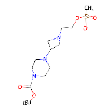 CC(C)(C)OC(=O)N1CCN(C2CN(CCOS(C)(=O)=O)C2)CC1